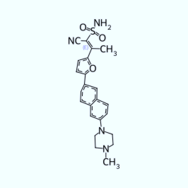 C/C(=C(/C#N)S(N)(=O)=O)c1ccc(-c2ccc3cc(N4CCN(C)CC4)ccc3c2)o1